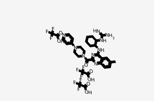 Cc1ccc2nc(C(=O)N3CCN(c4ccncc4)CC3)nc(NC3CCCCC3NC(=N)N)c2c1.O=C(O)C(F)(F)F.O=C(O)C(F)(F)F.O=C(O)C(F)(F)F